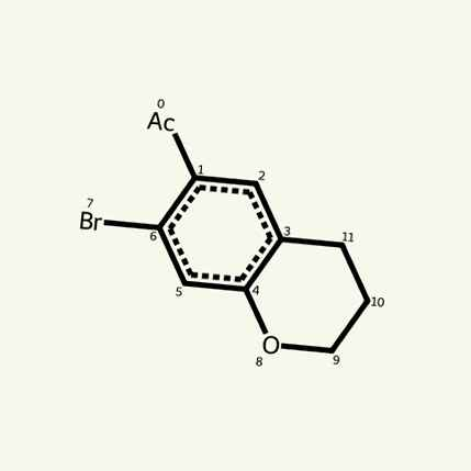 CC(=O)c1cc2c(cc1Br)OCCC2